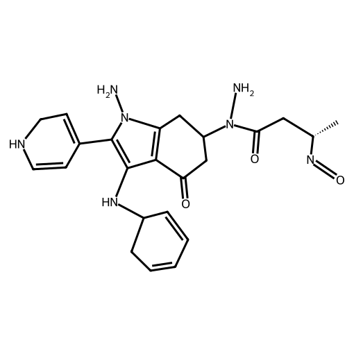 C[C@@H](CC(=O)N(N)C1CC(=O)c2c(NC3C=CC=CC3)c(C3=CCNC=C3)n(N)c2C1)N=O